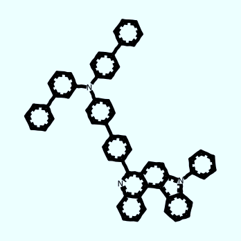 c1ccc(-c2ccc(N(c3ccc(-c4ccc(-c5nc6ccccc6c6c5ccc5c6c6ccccc6n5-c5ccccc5)cc4)cc3)c3cccc(-c4ccccc4)c3)cc2)cc1